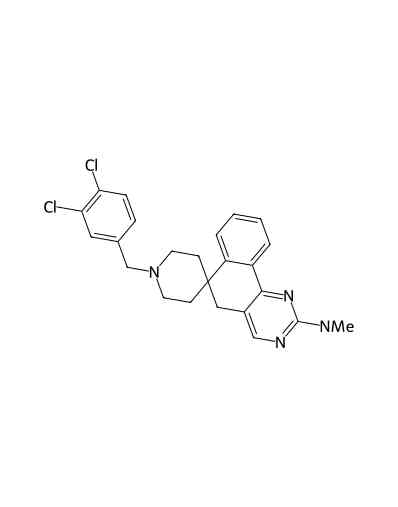 CNc1ncc2c(n1)-c1ccccc1C1(CCN(Cc3ccc(Cl)c(Cl)c3)CC1)C2